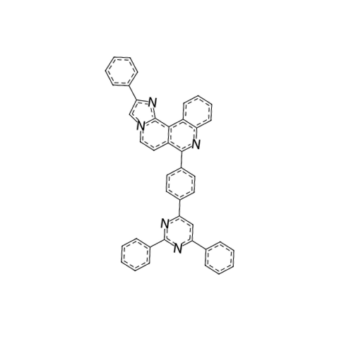 c1ccc(-c2cc(-c3ccc(-c4nc5ccccc5c5c4ccn4cc(-c6ccccc6)nc54)cc3)nc(-c3ccccc3)n2)cc1